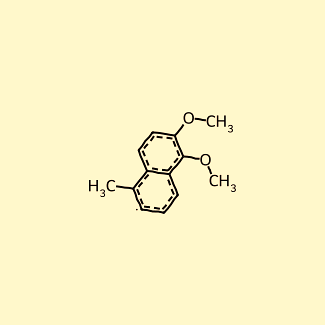 COc1ccc2c(C)[c]ccc2c1OC